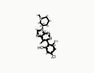 Cc1c(-c2c(O)cc(Cl)cc2F)nnc2c1ncn2[C@@H]1CCCN(C)C1